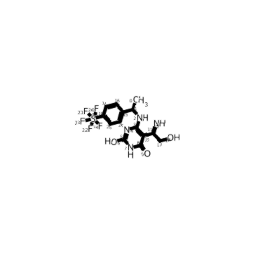 CC(Nc1nc(O)[nH]c(=O)c1C(=N)CO)c1ccc(S(F)(F)(F)(F)F)cc1